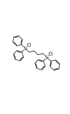 Cl[Si](CCCC[Si](Cl)(c1ccccc1)c1ccccc1)(c1ccccc1)c1ccccc1